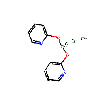 [Cl-].[Cl-].[Ti+4].c1ccc([O][Ti+2][O]c2ccccn2)nc1